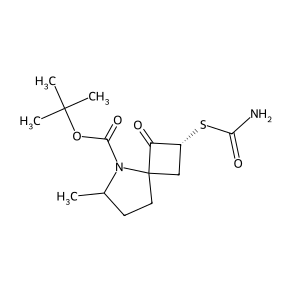 CC1CCC2(C[C@@H](SC(N)=O)C2=O)N1C(=O)OC(C)(C)C